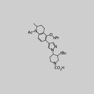 CCCOc1c(-c2cnn(C3CCN(C(=O)O)CC3C(C)(C)C)c2)ccc2c1CCC(C)N2C(C)=O